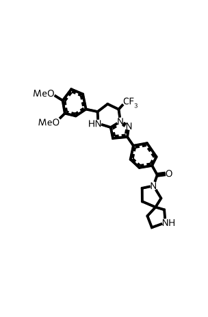 COc1ccc(C2CC(C(F)(F)F)n3nc(-c4ccc(C(=O)N5CCC6(CCNC6)C5)cc4)cc3N2)cc1OC